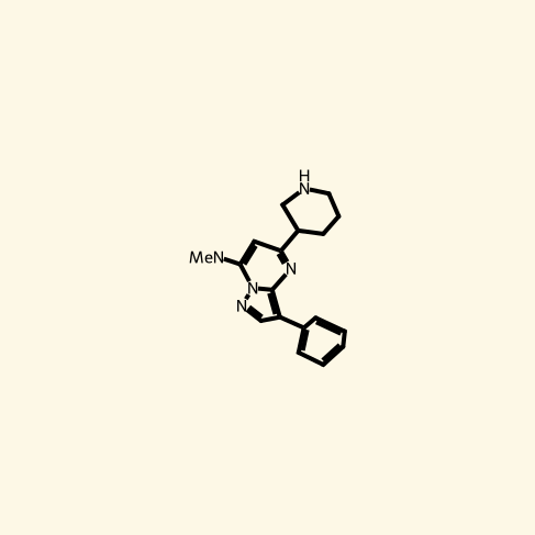 CNc1cc(C2CCCNC2)nc2c(-c3ccccc3)cnn12